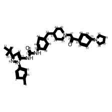 Cc1ccc(-n2nc(C(C)(C)C)cc2NC(=O)Nc2ccc(CC3CCN(CC(=O)c4ccc(N5CCCC5)cc4)CC3)cc2)cc1